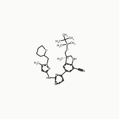 Cc1cc(Nc2nccc(-c3cc(C#N)c4c(c3)[C@@](C)(CO[Si](C)(C)C(C)(C)C)CN4)n2)nn1CC1CCCCO1